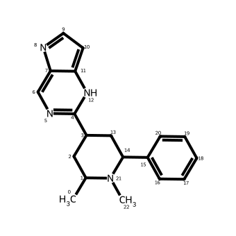 CC1CC(c2ncc3nccc-3[nH]2)CC(c2ccccc2)N1C